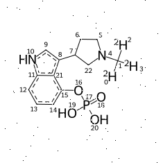 [2H]C([2H])([2H])N1CCC(c2c[nH]c3cccc(OP(=O)(O)O)c23)C1